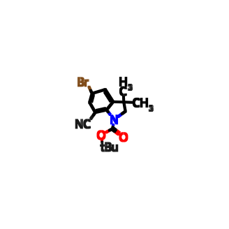 CC(C)(C)OC(=O)N1CC(C)(C)c2cc(Br)cc(C#N)c21